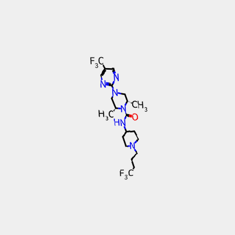 C[C@@H]1CN(c2ncc(C(F)(F)F)cn2)C[C@H](C)N1C(=O)NC1CCN(CCCC(F)(F)F)CC1